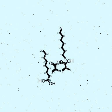 C=C(C)C(=O)O.C=C(C)C(=O)O.CCCCCCCCC.CCCCCCCCC(O)O